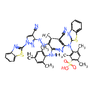 Cc1cc(C)c(Nc2nc(N(c3nc4ccccc4s3)c3c(C)cc(C)c(S(=O)(=O)O)c3C)c(C#N)c(C)c2N=Nc2nn(-c3nc4ccccc4s3)cc2C#N)c(C)c1